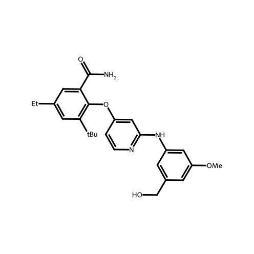 CCc1cc(C(N)=O)c(Oc2ccnc(Nc3cc(CO)cc(OC)c3)c2)c(C(C)(C)C)c1